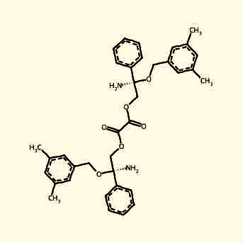 Cc1cc(C)cc(CO[C@@](N)(COC(=O)C(=O)OC[C@](N)(OCc2cc(C)cc(C)c2)c2ccccc2)c2ccccc2)c1